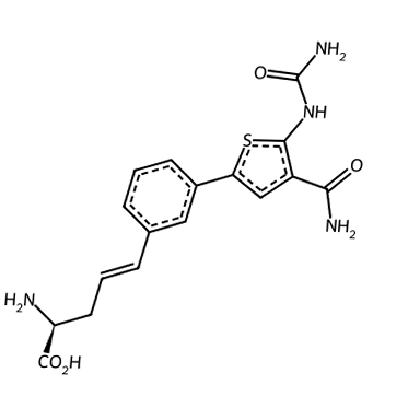 NC(=O)Nc1sc(-c2cccc(/C=C/C[C@H](N)C(=O)O)c2)cc1C(N)=O